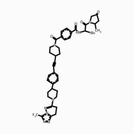 CC1CC(=O)CN1C(=O)C(NC(=O)c1ccc(C(=O)N2CCC(C#Cc3ccc(C4CCN(C5=Nn6c(nnc6C(F)(F)F)CC5)CC4)cc3)CC2)cc1)C(C)(C)C